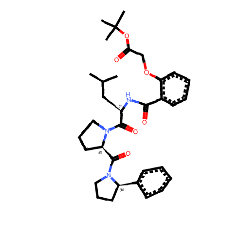 CC(C)C[C@@H](NC(=O)c1ccccc1OCC(=O)OC(C)(C)C)C(=O)N1CCC[C@@H]1C(=O)N1CCC[C@@H]1c1ccccc1